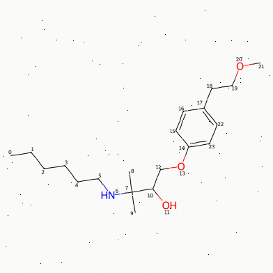 CCCCCCNC(C)(C)C(O)COc1ccc(CCOC)cc1